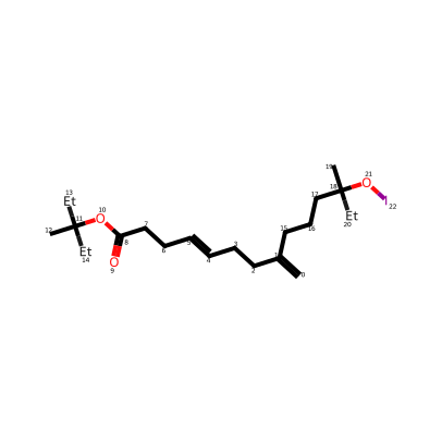 C=C(CCC=CCCC(=O)OC(C)(CC)CC)CCCC(C)(CC)OI